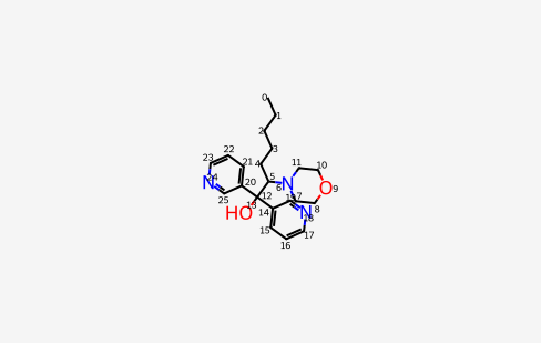 CCCCCC(N1CCOCC1)C(O)(c1cccnc1)c1cccnc1